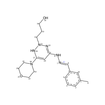 Cc1cccc(/C=N/NC2=NN(CCCO)NC(N3CCOCC3)=C2)c1